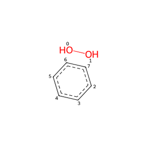 OO.c1ccccc1